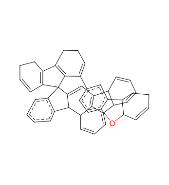 C1=CC2C3=CC=CC4C3=C(C=C3C4c4ccccc4C34C3=C(CCC=C3)C3=C4C(c4ccc5c(c4)C4CCC=CC4O5)=CCC3)C2C=C1